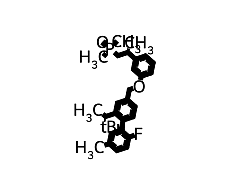 Cc1ccc(F)c(-c2ccc(COc3cccc([C@H](C)CP(C)(C)=O)c3)cc2[C@@H](C)C(C)(C)C)c1